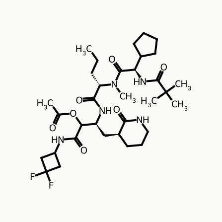 CCC[C@@H](C(=O)N[C@@H](C[C@@H]1CCCNC1=O)C(OC(C)=O)C(=O)NC1CC(F)(F)C1)N(C)C(=O)[C@H](NC(=O)C(C)(C)C)C1CCCC1